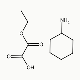 CCOC(=O)C(=O)O.NC1CCCCC1